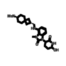 CN[C@H]1CCC2(CC1)C[C@@H](CNc1cccc3c1n(C)c(=O)n3C1CCC(O)NC1=O)C2